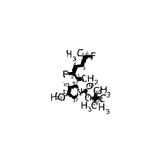 C=C(/C(F)=C\C=C(/C)F)[C@H]1C[C@@H](O)CN1C(=O)OC(C)(C)C